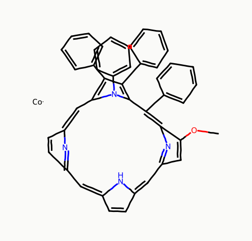 COC1=Cc2cc3ccc(cc4nc(cc5c(-c6ccccc6)c(-c6ccccc6)c(c(-c6ccccc6)c1n2)n5-c1ccccc1)C=C4)[nH]3.[Co]